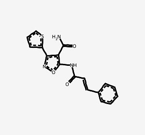 NC(=O)c1c(-c2cccs2)noc1NC(=O)C=Cc1ccccc1